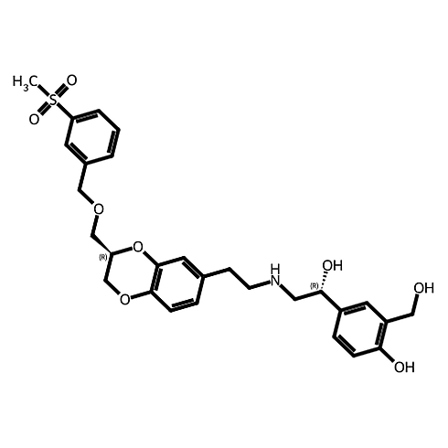 CS(=O)(=O)c1cccc(COC[C@@H]2COc3ccc(CCNC[C@H](O)c4ccc(O)c(CO)c4)cc3O2)c1